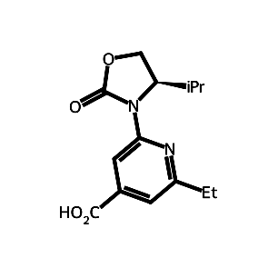 CCc1cc(C(=O)O)cc(N2C(=O)OC[C@H]2C(C)C)n1